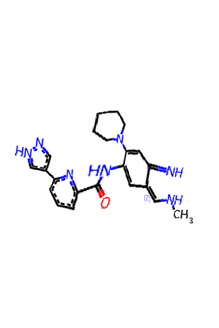 CN/C=C1/C=C(NC(=O)c2cccc(-c3cn[nH]c3)n2)C(N2CCCCC2)=CC1=N